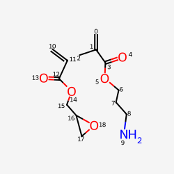 C=C(C)C(=O)OCCCN.C=CC(=O)OCC1CO1